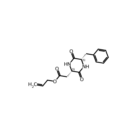 C=CCOC(=O)C[C@@H]1NC(=O)[C@H](Cc2ccccc2)NC1=O